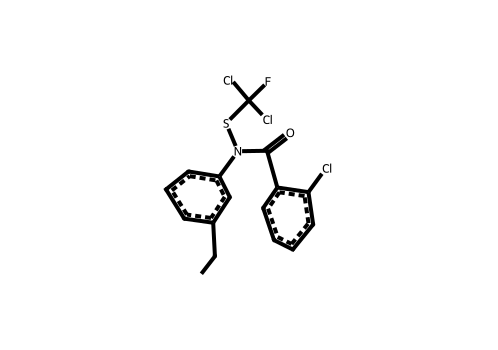 CCc1cccc(N(SC(F)(Cl)Cl)C(=O)c2ccccc2Cl)c1